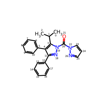 CC(C)c1c(-c2ccccc2)c(-c2ccccc2)nn1C(=O)n1cccn1